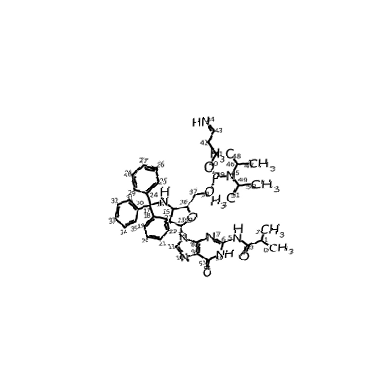 CC(C)C(=O)Nc1nc2c(ncn2[C@H]2CC(NC(c3ccccc3)(c3ccccc3)c3ccccc3)[C@@H](COP(OCCC=N)N(C(C)C)C(C)C)O2)c(=O)[nH]1